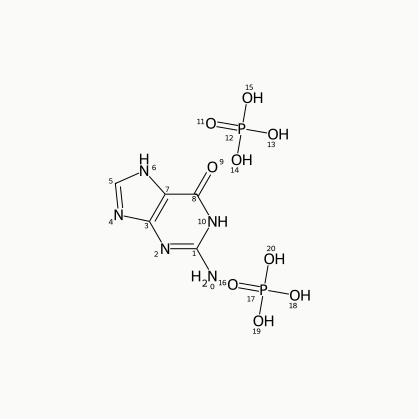 Nc1nc2nc[nH]c2c(=O)[nH]1.O=P(O)(O)O.O=P(O)(O)O